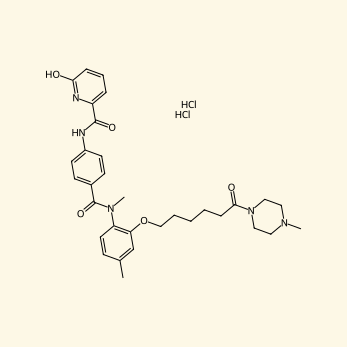 Cc1ccc(N(C)C(=O)c2ccc(NC(=O)c3cccc(O)n3)cc2)c(OCCCCCC(=O)N2CCN(C)CC2)c1.Cl.Cl